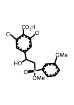 COc1cccc(P(=O)(CC(O)c2cc(Cl)c(C(=O)O)c(Cl)c2)OC)c1